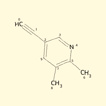 C#Cc1cnc(C)c(C)c1